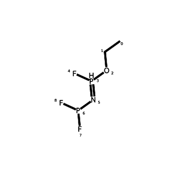 CCO/[PH](F)=N/P(F)F